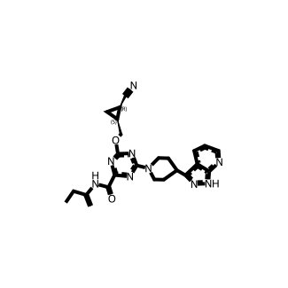 C=C(CC)NC(=O)c1nc(OC[C@H]2C[C@H]2C#N)nc(N2CCC(c3n[nH]c4ncccc34)CC2)n1